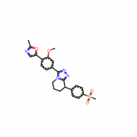 COc1cc(-c2nnc3n2CCCC3c2ccc(S(C)(=O)=O)cc2)ccc1-c1cnc(C)o1